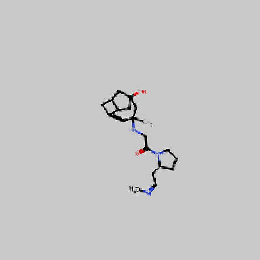 C/N=C\C[C@@H]1CCCN1C(=O)CNC1(C)C=C2CC3CC(O)(CC23)C1